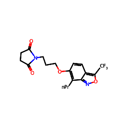 CCCc1c(OCCCN2C(=O)CCC2=O)ccc2c(C(F)(F)F)onc12